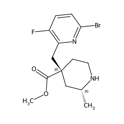 COC(=O)[C@]1(Cc2nc(Br)ccc2F)CCN[C@H](C)C1